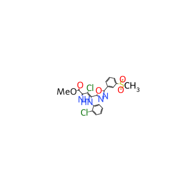 COC(=O)C(=N)/C(Cl)=C(\Nc1ccccc1Cl)c1nnc(-c2cccc(S(C)(=O)=O)c2)o1